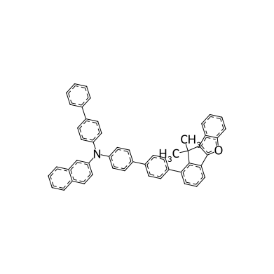 CC1(C)c2c(-c3ccc(-c4ccc(N(c5ccc(-c6ccccc6)cc5)c5ccc6ccccc6c5)cc4)cc3)cccc2-c2oc3ccccc3c21